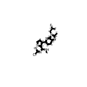 CNc1nc(Cl)nn2ccc(-c3ccc4nc(C)n(CC(F)F)c4n3)c12